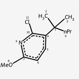 CCCC(C)(C)c1ccc(OC)nc1Cl